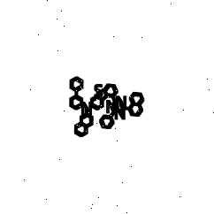 c1ccc(-c2cccc(N(c3ccc4ccccc4c3)c3ccc4c(c3)sc3cccc(-c5nc(-c6ccccc6)nc(-c6cccc7ccccc67)n5)c34)c2)cc1